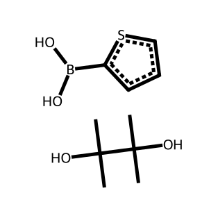 CC(C)(O)C(C)(C)O.OB(O)c1cccs1